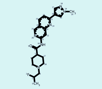 CC(F)CN1CCC(C(=O)Nc2cc3nc(-c4cnn(C)c4)ccc3cn2)CC1